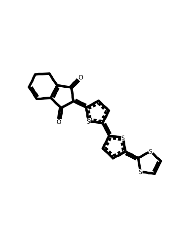 O=C1C2=C(CCC=C2)C(=O)/C1=c1\cc/c(=c2/ccc(=C3SC=CS3)s2)s1